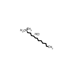 CCCCCCCCCCCCN(C)C.Cl